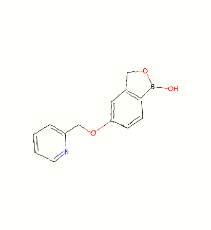 OB1OCc2cc(OCc3ccccn3)ccc21